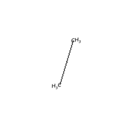 CCCCCCCCCCCCCCCCC=CCCCCCCCCCCCCCCCCC